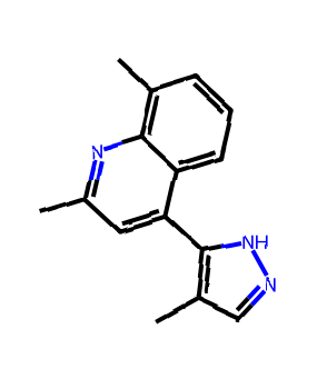 Cc1cc(-c2[nH]ncc2C)c2cccc(C)c2n1